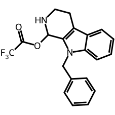 O=C(OC1NCCc2c1n(Cc1ccccc1)c1ccccc21)C(F)(F)F